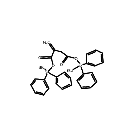 C=C(CC(=O)O[Si](c1ccccc1)(c1ccccc1)C(C)(C)C)C(=O)O[Si](c1ccccc1)(c1ccccc1)C(C)(C)C